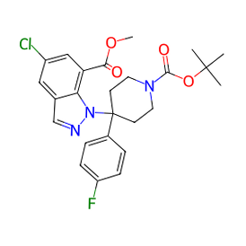 COC(=O)c1cc(Cl)cc2cnn(C3(c4ccc(F)cc4)CCN(C(=O)OC(C)(C)C)CC3)c12